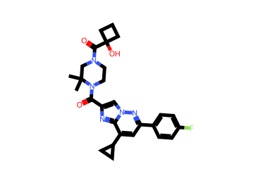 CC1(C)CN(C(=O)C2(O)CCC2)CCN1C(=O)c1cn2nc(-c3ccc(F)cc3)cc(C3CC3)c2n1